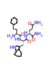 NC(=O)CC[C@H](NC(=O)[C@H](Cc1c[nH]c2ccccc12)NC(=O)[C@@H](N)CCc1ccccc1)C(N)=O